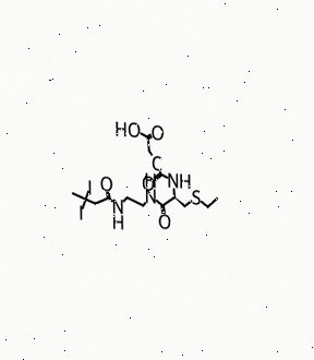 CCSC[C@H](NC(=O)CCC(=O)O)C(=O)NCCNC(=O)CC(C)(I)I